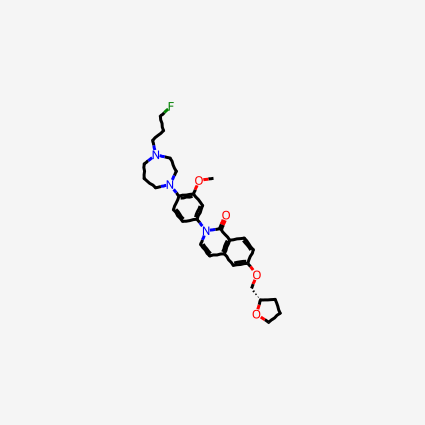 COc1cc(-n2ccc3cc(OC[C@@H]4CCCO4)ccc3c2=O)ccc1N1CCCN(CCCF)CC1